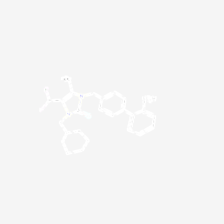 CCCCc1c(C(F)F)n(CC2CCCCC2)c(=O)n1Cc1ccc(-c2ccccc2C(=O)O)cc1